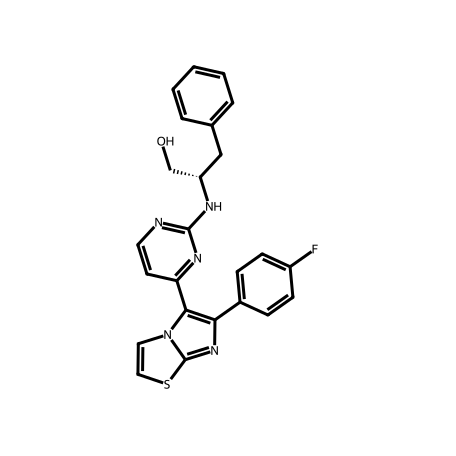 OC[C@H](Cc1ccccc1)Nc1nccc(-c2c(-c3ccc(F)cc3)nc3sccn23)n1